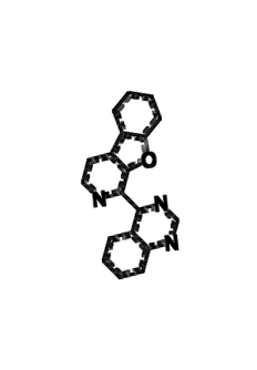 c1ccc2c(-c3nccc4c3oc3ccccc34)ncnc2c1